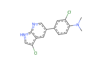 CN(C)c1ccc(-c2cnc3[nH]cc(Cl)c3c2)cc1Cl